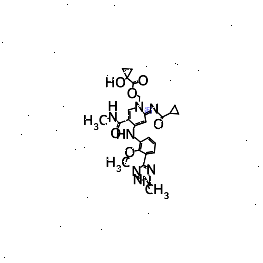 CNC(=O)c1cn(COC(=O)C2(O)CC2)/c(=N/C(=O)C2CC2)cc1Nc1cccc(-c2nnn(C)n2)c1OC